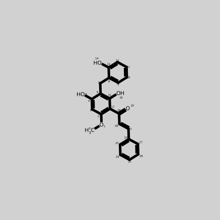 COc1cc(O)c(Cc2ccccc2O)c(O)c1C(=O)/C=C/c1ccccc1